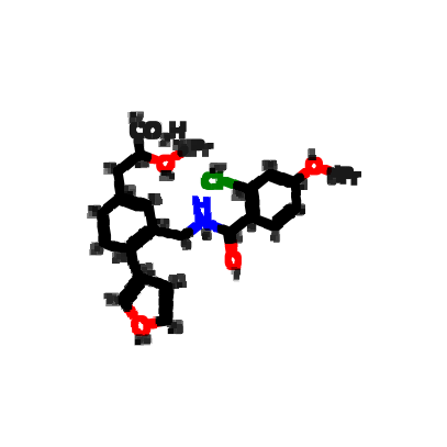 CC(C)Oc1ccc(C(=O)NCc2cc(CC(OC(C)C)C(=O)O)ccc2-c2ccoc2)c(Cl)c1